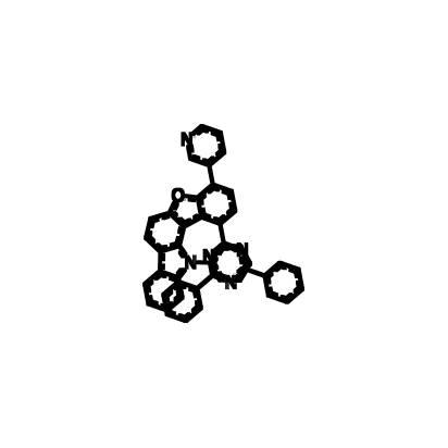 c1ccc(-c2nc(-c3ccccc3)nc(-c3ccc(-c4cccnc4)c4oc5ccc6c7ccccc7n(-c7ccccc7)c6c5c34)n2)cc1